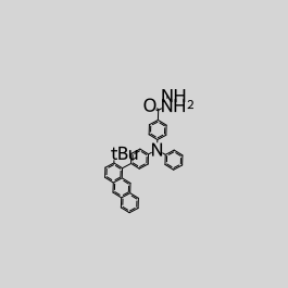 CC(C)(C)c1ccc2cc3ccccc3cc2c1-c1ccc(N(c2ccccc2)c2ccc(C(=O)NN)cc2)cc1